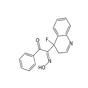 O=C(C(=NO)C1(F)CC=Nc2ccccc21)c1ccccc1